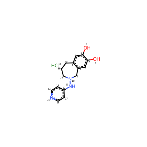 Cl.Oc1cc2c(cc1O)CN(Nc1ccncc1)CCC2